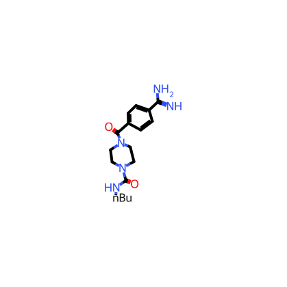 CCCCNC(=O)N1CCN(C(=O)c2ccc(C(=N)N)cc2)CC1